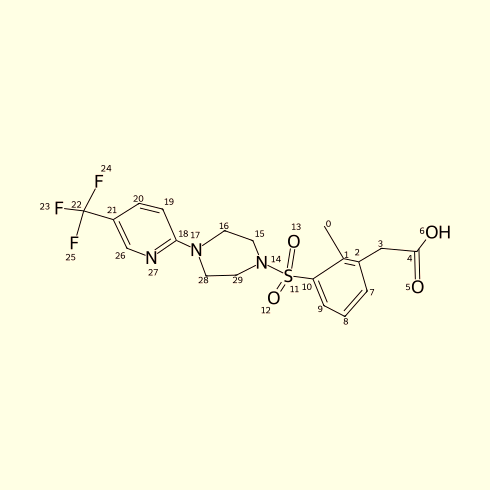 Cc1c(CC(=O)O)cccc1S(=O)(=O)N1CCN(c2ccc(C(F)(F)F)cn2)CC1